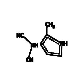 Cc1ccc[nH]1.N#CNC#N